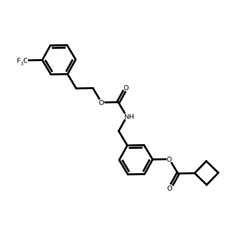 O=C(NCc1cccc(OC(=O)C2CCC2)c1)OCCc1cccc(C(F)(F)F)c1